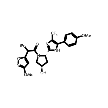 COc1ccc(-c2[nH]c([C@@H]3C[C@@H](O)CN3C(=O)C(c3cc(OC)no3)C(C)C)nc2C(F)(F)F)cc1